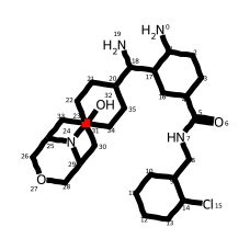 NC1CCC(C(=O)NCC2CCCCC2Cl)CC1C(N)C1CCC(N2C3COCC2CC(O)C3)CC1